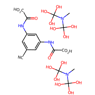 CN(C(O)(O)O)C(O)(O)O.CN(C(O)(O)O)C(O)(O)O.N#Cc1cc(NC(=O)C(=O)O)cc(NC(=O)C(=O)O)c1